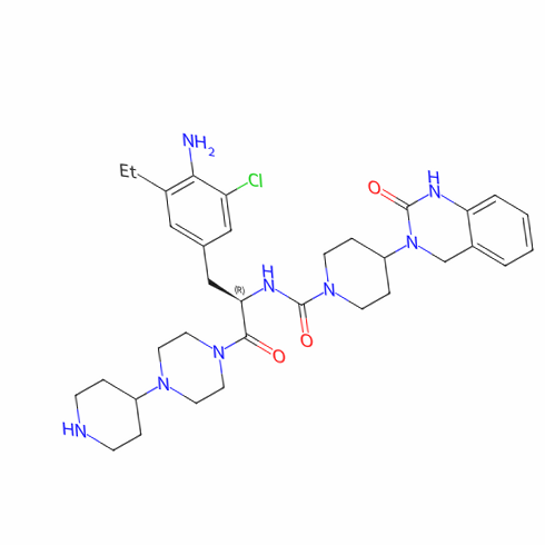 CCc1cc(C[C@@H](NC(=O)N2CCC(N3Cc4ccccc4NC3=O)CC2)C(=O)N2CCN(C3CCNCC3)CC2)cc(Cl)c1N